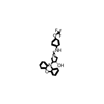 O[C@H]1CN(SNc2ccc(OC(F)(F)F)cc2)CC1N1c2ccccc2Oc2ccccc21